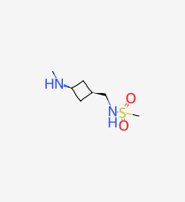 CN[C@H]1C[C@@H](CNS(C)(=O)=O)C1